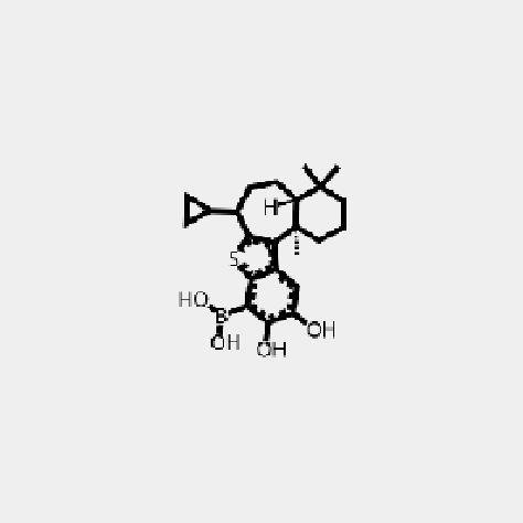 CC1(C)CCC[C@@]2(C)c3c(sc4c(B(O)O)c(O)c(O)cc34)C(C3CC3)CC[C@H]12